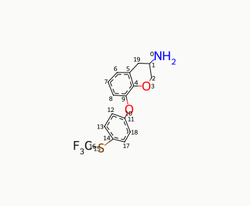 NC1COc2c(cccc2Oc2ccc(SC(F)(F)F)cc2)C1